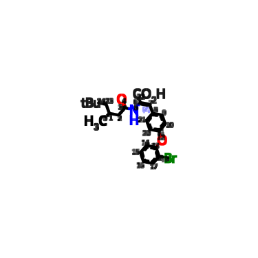 CC(CC(=O)N/C(=C\c1ccc(Oc2ccccc2Br)cc1)C(=O)O)CC(C)(C)C